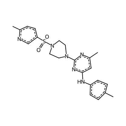 Cc1ccc(Nc2cc(C)nc(N3CCN(S(=O)(=O)c4ccc(C)nc4)CC3)n2)cc1